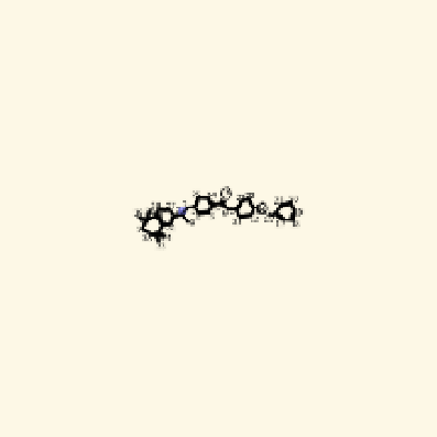 C/C(=C\c1ccc(C(=O)Cc2ccc(OCc3ccccc3)cc2)cc1)c1ccc2c(c1)C(C)(C)CCC2(C)C